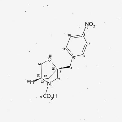 O=C(O)N1C[C@]2(Cc3ccc([N+](=O)[O-])cc3)C[C@H]1CO2